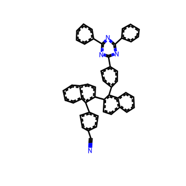 N#Cc1ccc(-c2c(-c3ccc4ccccc4c3-c3ccc(-c4nc(-c5ccccc5)nc(-c5ccccc5)n4)cc3)ccc3ccccc23)cc1